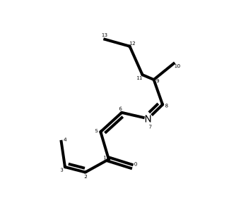 C=C(/C=C\C)/C=C\N=C/C(C)CCC